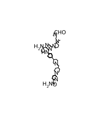 CN(C=O)CCN(C)C1CCCN(c2cnc(C(N)=O)c(Nc3ccc(C4CCN(CC5CCN(c6ccc(C(N)=O)nc6)CC5)CC4)cc3)n2)C1